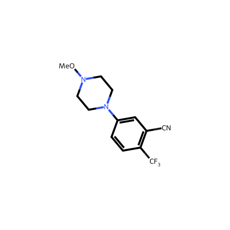 CON1CCN(c2ccc(C(F)(F)F)c(C#N)c2)CC1